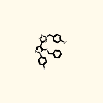 Fc1ccc(-n2ncc(-c3nnn(Cc4ccc(Br)cc4)n3)c2SCc2ccccc2)cc1